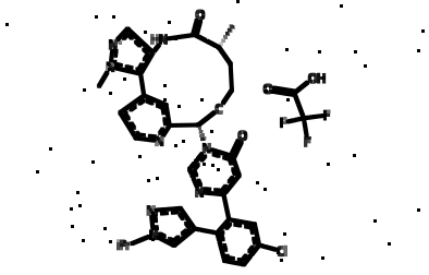 CC(C)n1cc(-c2ccc(Cl)cc2-c2cc(=O)n([C@H]3CCC[C@@H](C)C(=O)Nc4cnn(C)c4-c4ccnc3c4)cn2)cn1.O=C(O)C(F)(F)F